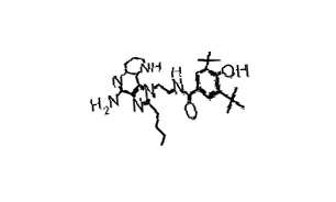 CCCCc1nc2c(n1CCNC(=O)c1cc(C(C)(C)C)c(O)c(C(C)(C)C)c1)C1NCCCC1N=C2N